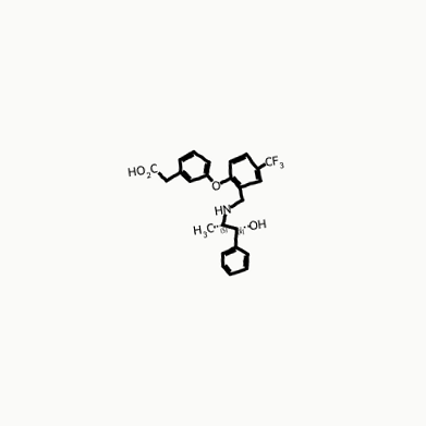 C[C@H](NCc1cc(C(F)(F)F)ccc1Oc1cccc(CC(=O)O)c1)[C@H](O)c1ccccc1